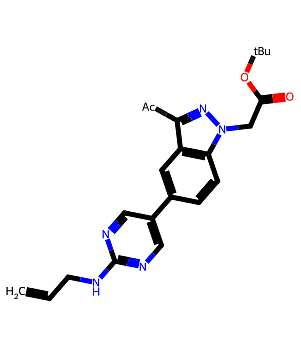 C=CCNc1ncc(-c2ccc3c(c2)c(C(C)=O)nn3CC(=O)OC(C)(C)C)cn1